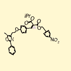 Cc1oc(-c2ccccc2)nc1CCOc1ccc(/C=C(/C(=O)OCc2ccc([N+](=O)[O-])cc2)C(=O)OC(C)C)cc1